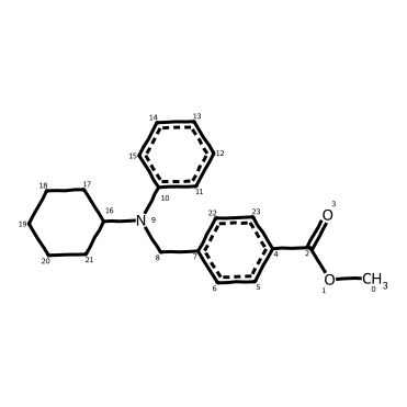 COC(=O)c1ccc(CN(c2ccccc2)C2CCCCC2)cc1